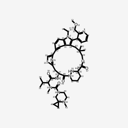 CCn1c(-c2cccnc2[C@H](C)OC)c2c3cc(ccc31)-c1csc(n1)C[C@H](NC(=O)C(C(C)C)N(C)C(=O)N1CCN(C)C3(CC3)C1)C(=O)N1CCC[C@H](N1)C(=O)OCC(C)(C)C2